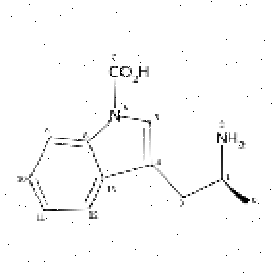 C[C@H](N)Cc1cn(C(=O)O)c2ccccc12